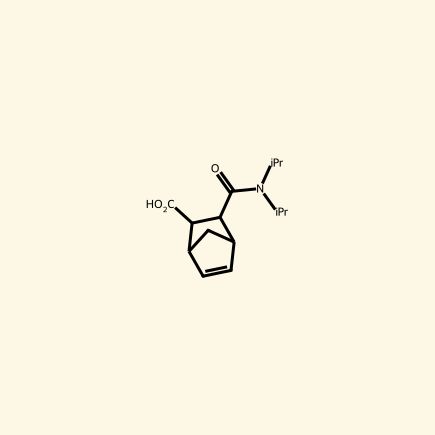 CC(C)N(C(=O)C1C2C=CC(C2)C1C(=O)O)C(C)C